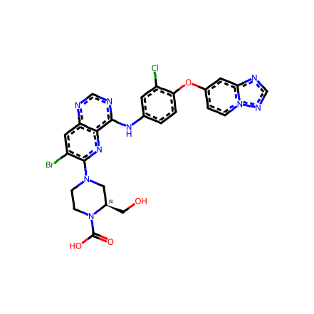 O=C(O)N1CCN(c2nc3c(Nc4ccc(Oc5ccn6ncnc6c5)c(Cl)c4)ncnc3cc2Br)C[C@H]1CO